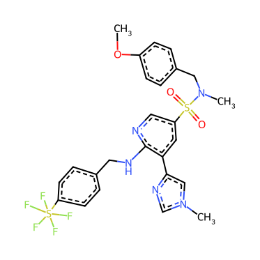 COc1ccc(CN(C)S(=O)(=O)c2cnc(NCc3ccc(S(F)(F)(F)(F)F)cc3)c(-c3cn(C)cn3)c2)cc1